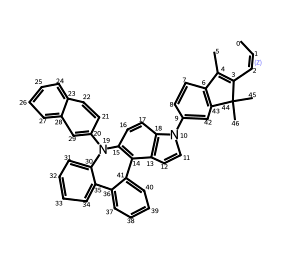 C/C=C\C1=C(C)c2ccc(-n3ccc4c5c(ccc43)N(c3ccc4ccccc4c3)c3ccccc3-c3ccccc3-5)cc2C1(C)C